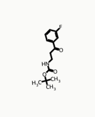 CC(C)(C)OC(=O)NCCC(=O)c1cccc(F)c1